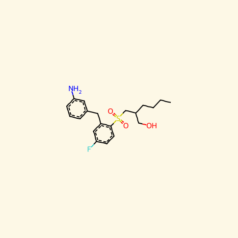 CCCCC(CO)CS(=O)(=O)c1ccc(F)cc1Cc1cccc(N)c1